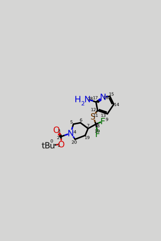 CC(C)(C)OC(=O)N1CCC(C(F)(F)Sc2cccnc2N)CC1